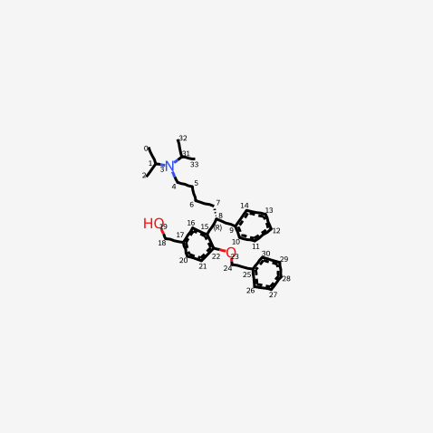 CC(C)N(CCCC[C@H](c1ccccc1)c1cc(CO)ccc1OCc1ccccc1)C(C)C